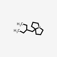 CCC(CC)CC12CCCN1CCC2